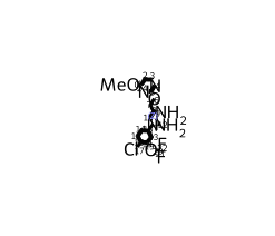 COc1ccnc(OC/C(N)=C/N(N)c2ccc(Cl)c(OC(F)F)c2)n1